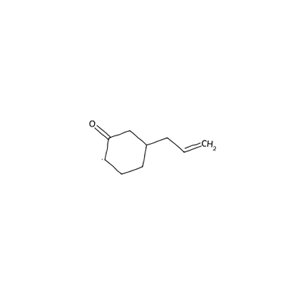 C=CCC1CC[CH]C(=O)C1